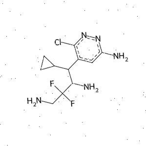 NCC(F)(F)C(N)C(c1cc(N)nnc1Cl)C1CC1